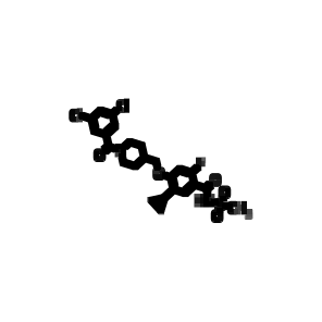 CS(=O)(=O)NC(=O)c1cc(C2CC2)c(OCC2CCN(C(=O)c3cc(Cl)cc(Cl)c3)CC2)cc1F